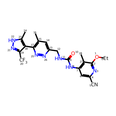 CCOc1nc(C#N)cc(NC(=O)NCc2cc(C)c(-c3c(C(F)(F)F)n[nH]c3C)nn2)c1C